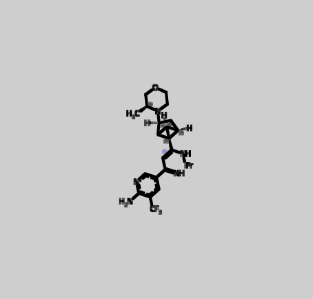 CC(C)N/C(=C\C(=N)c1cnc(N)c(C(F)(F)F)c1)[C@]12C3[C@@H](N4CCOC[C@@H]4C)C[C@@H]1[C@H]32